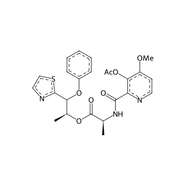 COc1ccnc(C(=O)N[C@@H](C)C(=O)O[C@@H](C)C(Oc2ccccc2)c2nccs2)c1OC(C)=O